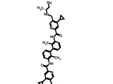 Cc1c(NC(=O)c2cc(C3CC3)c(CN)cn2)cccc1-c1cccc(NC(=O)c2cc(C3CC3)c(CN[C@H](C)CO)cn2)c1C